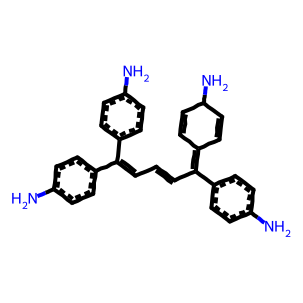 Nc1ccc(C(=CC=CC(=C2C=CC(N)C=C2)c2ccc(N)cc2)c2ccc(N)cc2)cc1